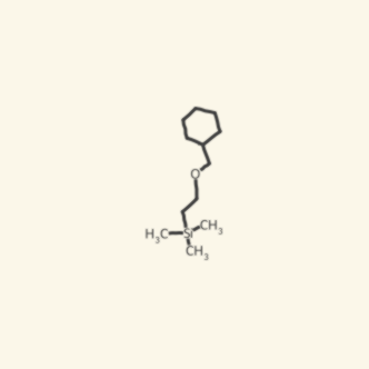 C[Si](C)(C)CCOC[C]1CCCCC1